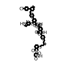 CN(CCSc1cccc2c1CN(C1CCC(=O)NC1=O)C2=O)CCN1CCC(CNc2ccc(S(=O)(=O)NC(=O)c3ccc(N4CCN(CC5=C(c6ccc(Cl)cc6)CC(C)(C)CC5)CC4)cc3Oc3cnc4[nH]ccc4c3)cc2[N+](=O)[O-])CC1